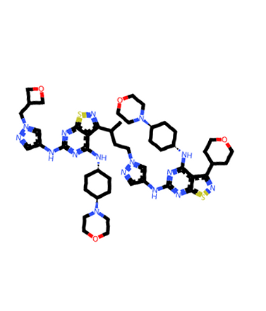 CC(CCn1cc(Nc2nc(N[C@H]3CC[C@H](N4CCOCC4)CC3)c3c(C4CCOCC4)nsc3n2)cn1)c1nsc2nc(Nc3cnn(CC4COC4)c3)nc(N[C@H]3CC[C@H](N4CCOCC4)CC3)c12